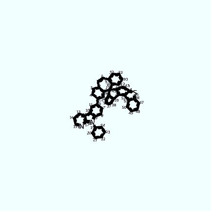 C1=Cc2ccc(-c3ccc4c(c3)c3cccnc3n4-c3ccccc3)cc2C2(c3ccccc31)c1ccccc1-c1c2ccc2sc3ccccc3c12